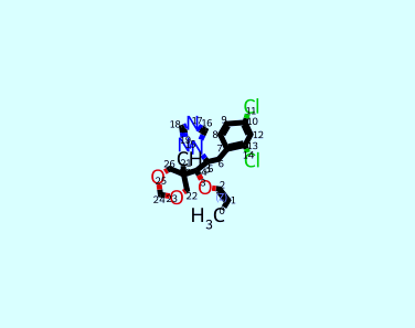 C/C=C\OC(C(Cc1ccc(Cl)cc1Cl)n1cncn1)C1(C)COCOC1